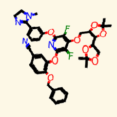 CN1CCN=C1c1cccc(Oc2nc(Oc3cc(C#N)ccc3OCc3ccccc3)c(F)c(OCC3OC(C)(C)OC3C3COC(C)(C)O3)c2F)c1